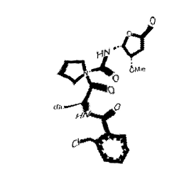 CO[C@H]1CC(=O)O[C@H]1NC(=O)[N+]1(C(=O)[C@@H](NC(=O)c2ccccc2Cl)C(C)(C)C)CCCC1